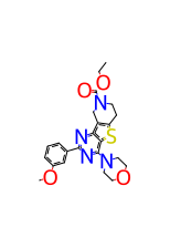 CCOC(=O)N1CCc2sc3c(N4CCOCC4)nc(-c4cccc(OC)c4)nc3c2C1